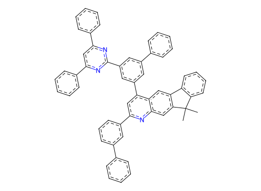 CC1(C)c2ccccc2-c2cc3c(-c4cc(-c5ccccc5)cc(-c5nc(-c6ccccc6)cc(-c6ccccc6)n5)c4)cc(-c4cccc(-c5ccccc5)c4)nc3cc21